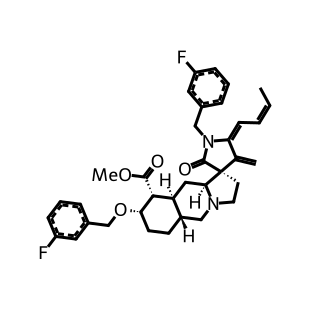 C=C1/C(=C\C=C/C)N(Cc2cccc(F)c2)C(=O)[C@@]12CCN1C[C@@H]3CC[C@H](OCc4cccc(F)c4)[C@H](C(=O)OC)[C@H]3C[C@H]12